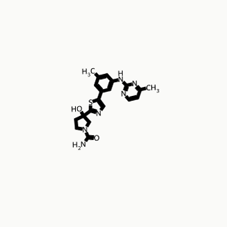 Cc1cc(Nc2nccc(C)n2)cc(-c2cnc(C3(O)CCN(C(N)=O)C3)s2)c1